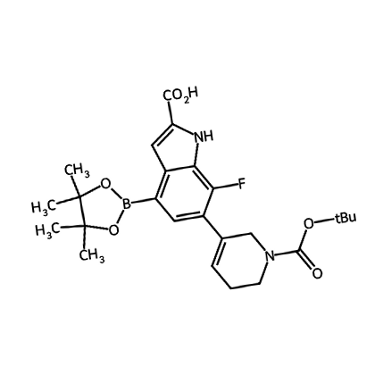 CC(C)(C)OC(=O)N1CCC=C(c2cc(B3OC(C)(C)C(C)(C)O3)c3cc(C(=O)O)[nH]c3c2F)C1